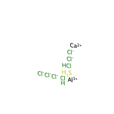 Cl.Cl.S.[Al+3].[Ca+2].[Cl-].[Cl-].[Cl-].[Cl-].[Cl-]